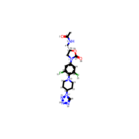 CC(=O)NC[C@H]1CN(c2cc(F)c(N3CCC(n4cnnn4)CC3)c(F)c2)C(=O)O1